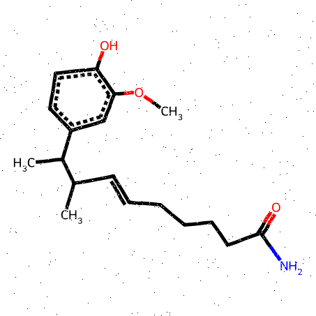 COc1cc(C(C)C(C)C=CCCCCC(N)=O)ccc1O